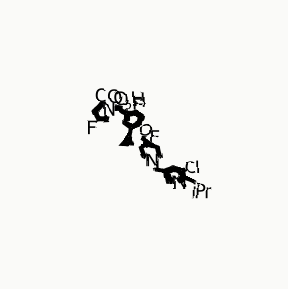 CC(C)Cc1ncc(CN2CCC(F)(COc3cc(F)c(C(=O)N4C[C@H](F)C[C@H]4C(=O)O)cc3C3CC3)CC2)cc1Cl